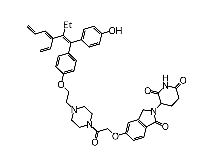 C=C/C=C(C=C)/C(CC)=C(/c1ccc(O)cc1)c1ccc(OCCN2CCN(C(=O)COc3ccc4c(c3)CN(C3CCC(=O)NC3=O)C4=O)CC2)cc1